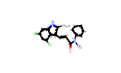 O=C(O)c1[nH]c2cc(Cl)cc(Cl)c2c1/C=C/C(=O)N(c1ccccc1)C(F)(F)F